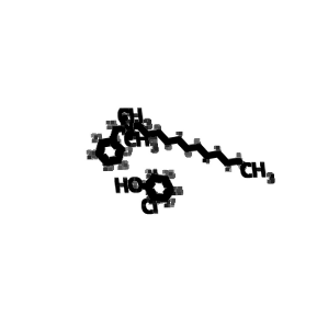 CCCCCCCCCCCC[N+](C)(C)Cc1ccccc1.Oc1ccccc1.[Cl-]